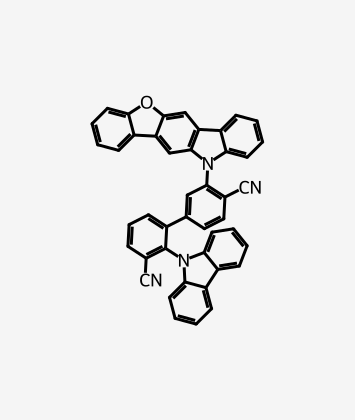 N#Cc1ccc(-c2cccc(C#N)c2-n2c3ccccc3c3ccccc32)cc1-n1c2ccccc2c2cc3oc4ccccc4c3cc21